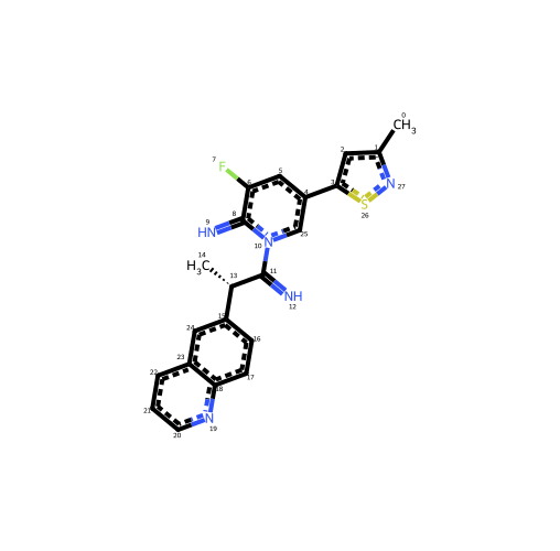 Cc1cc(-c2cc(F)c(=N)n(C(=N)[C@@H](C)c3ccc4ncccc4c3)c2)sn1